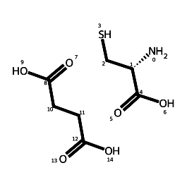 N[C@@H](CS)C(=O)O.O=C(O)CCC(=O)O